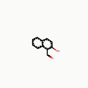 O=[C]c1c(O)ccc2ccccc12